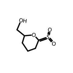 O=S(=O)=C1CCCC(CO)O1